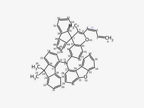 C=C/C=C\C1=C(C)C2(c3cc(N(c4cccc5c4-c4ccccc4C5(C)C)c4cccc5oc6ccccc6c45)ccc3O1)c1ccccc1-c1ccccc12